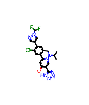 CC(C)N1Cc2cc(-c3cnn(C(F)F)c3)c(Cl)cc2-c2cc(=O)c(-c3nnn[nH]3)cn21